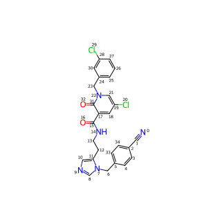 N#Cc1ccc(Cn2cncc2CCNC(=O)c2cc(Cl)cn(Cc3cccc(Cl)c3)c2=O)cc1